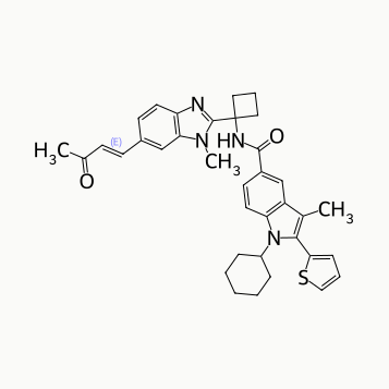 CC(=O)/C=C/c1ccc2nc(C3(NC(=O)c4ccc5c(c4)c(C)c(-c4cccs4)n5C4CCCCC4)CCC3)n(C)c2c1